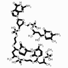 COP(O)(=S)OC(C)C[C@@H](OCCOP(O)(=S)OC(C)CC(OCCOP(O)(=S)OC1C[C@H](n2cnc3c(=O)[nH]c(N)nc32)O[C@@H]1COP(O)(=S)OC(C)C[C@@H](O)n1cc(C)c(N)nc1=O)n1ccc(N)nc1=O)n1ccc(N)nc1=O